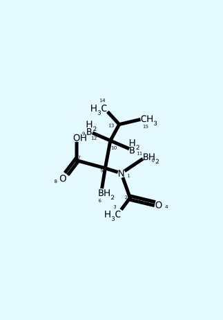 BN(C(C)=O)C(B)(C(=O)O)C(B)(B)C(C)C